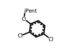 [CH2]C(CCC)Oc1ccc(Cl)cc1Cl